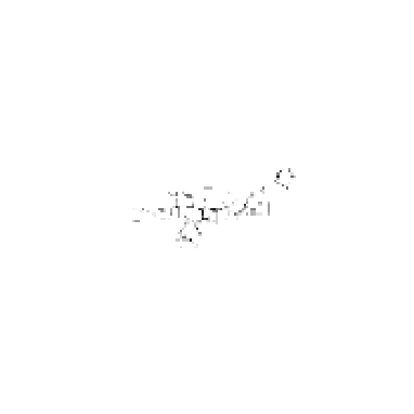 CC1(CNC(=O)Cc2ccccc2)COC(c2nc(-c3ccc(F)cc3)c(-c3ccnc(OCCCO)n3)[nH]2)OC1